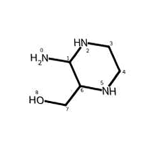 NC1NCCNC1CO